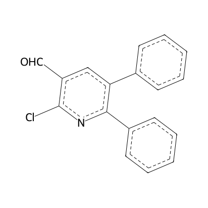 O=Cc1cc(-c2ccccc2)c(-c2ccccc2)nc1Cl